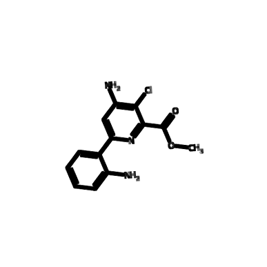 COC(=O)c1nc(-c2ccccc2N)cc(N)c1Cl